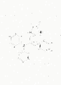 C=C(C)B(c1ccccc1)c1ccccc1.Cc1cnc(Cc2ccccc2)[nH]1